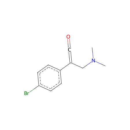 CN(C)CC(=C=O)c1ccc(Br)cc1